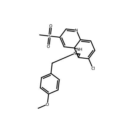 COc1ccc(CN2C=C3C(Cl)=CC=C4N=CC(S(C)(=O)=O)=CC43N2)cc1